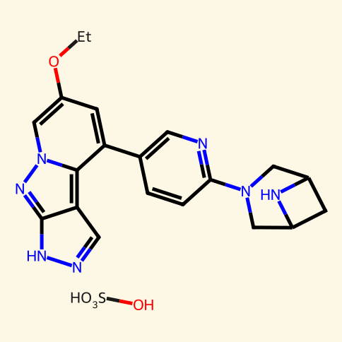 CCOc1cc(-c2ccc(N3CC4CC(C3)N4)nc2)c2c3cn[nH]c3nn2c1.O=S(=O)(O)O